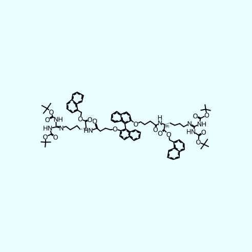 CC(C)(C)OC(=O)NC(=NCCCC[C@@H](NC(=O)CCCOc1ccc2ccccc2c1-c1c(OCCCC(=O)N[C@H](CCCCN=C(NC(=O)OC(C)(C)C)NC(=O)OC(C)(C)C)C(=O)OCc2cccc3ccccc23)ccc2ccccc12)C(=O)OCc1cccc2ccccc12)NC(=O)OC(C)(C)C